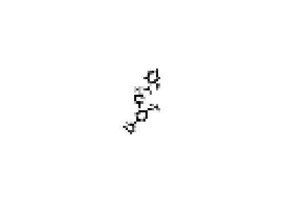 Cc1ccc(-c2nncs2)cc1-c1ccc(NC(=O)c2c(F)cncc2F)s1